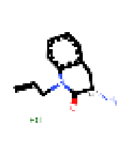 C=CCN1C(=O)[C@@H](N)Cc2ccccc21.Cl